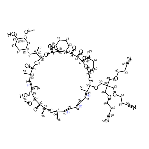 CO[C@@H]1C[C@H](C[C@@H](C)[C@@H]2CC(=O)[C@H](C)/C=C(\C)[C@@H](O)[C@@H](OC)C(=O)[C@H](C)C[C@H](C)/C=C/C=C/C=C(\C)C(OCC(COCCC#N)(COCCC#N)COCCC#N)C[C@@H]3CC[C@@H](C)[C@@](O)(O3)C(=O)C(=O)N3CCCC[C@H]3C(=O)O2)CC[C@H]1O